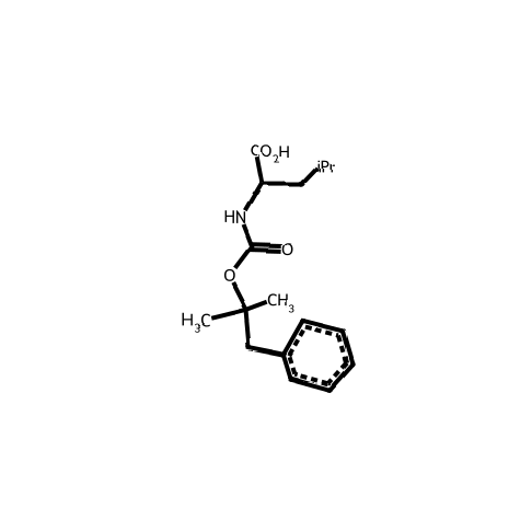 CC(C)CC(NC(=O)OC(C)(C)Cc1ccccc1)C(=O)O